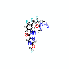 C/N=C(/N)O[C@H]([C@H](C)F)[C@H](F)c1cc(NC(=O)c2cnc(OCF)cn2)ccc1F